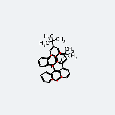 CC(C)(C)c1cc(-c2ccccc2N(c2ccccc2-c2cccc3cccc(-c4ccccc4)c23)c2cccc3ccccc23)cc(C(C)(C)C)c1